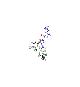 CN(C)CCN(C)CC(=O)N1C[C@H](c2ccc(Cl)c(Cl)c2)[C@@H](N(C)Cc2ccc(C(F)(F)F)c(F)c2)C1